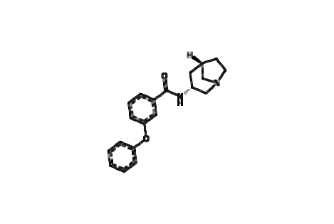 O=C(N[C@@H]1C[C@@H]2CCN(C2)C1)c1cccc(Oc2ccccc2)c1